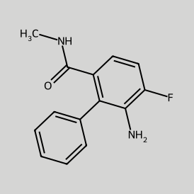 CNC(=O)c1ccc(F)c(N)c1-c1ccccc1